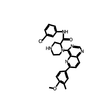 COc1ccc(-c2ccc3ncnc(N4CCNCC4C(=O)Nc4cccc(Cl)c4)c3n2)cc1C